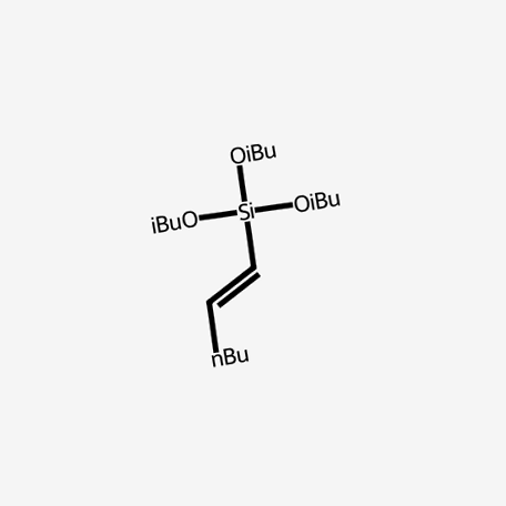 CCCC/C=C/[Si](OCC(C)C)(OCC(C)C)OCC(C)C